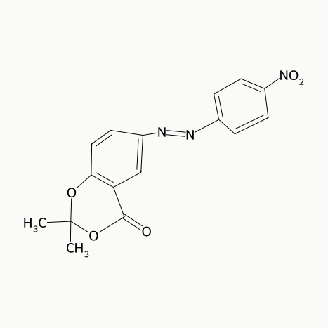 CC1(C)OC(=O)c2cc(N=Nc3ccc([N+](=O)[O-])cc3)ccc2O1